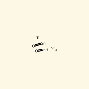 [InH3].[O]=[InH].[O]=[Sn].[Ti]